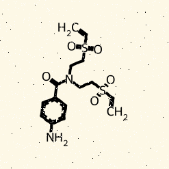 C=CS(=O)(=O)CCN(CCS(=O)(=O)C=C)C(=O)c1ccc(N)cc1